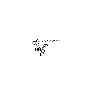 CCCCCCCCCCCCCCOc1c(OCC(=O)Nc2ccccc2C[n+]2ccsc2)cccc1C(C)(C)C.[Br-]